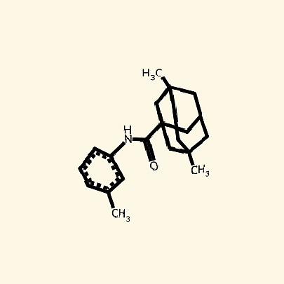 Cc1cccc(NC(=O)C23CC4CC(C)(CC(C)(C4)C2)C3)c1